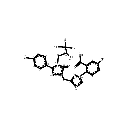 O=C(O)c1cc(Cl)ccc1-n1cnc(Cn2nc(-c3ccc(Cl)cc3)n(C[C@H](O)C(F)(F)F)c2=O)n1